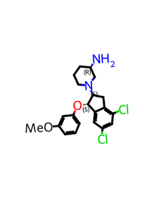 COc1cccc(O[C@H]2c3cc(Cl)cc(Cl)c3C[C@@H]2N2CCC[C@@H](N)C2)c1